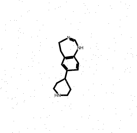 C1=NCCc2cc(C3CCNCC3)ccc2N1